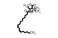 CCCCC/C=C\C/C=C\CCCCCCCC(=O)NC(CC)C(C(=O)[O-])[N+](C)(C)C